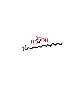 CCCCCCCCCCCCCCCC[N+](C)(C)C.OCCO.[Br-]